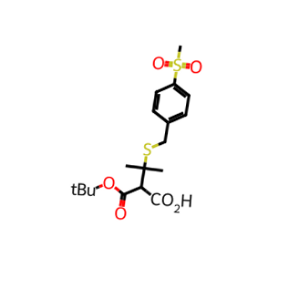 CC(C)(C)OC(=O)C(C(=O)O)C(C)(C)SCc1ccc(S(C)(=O)=O)cc1